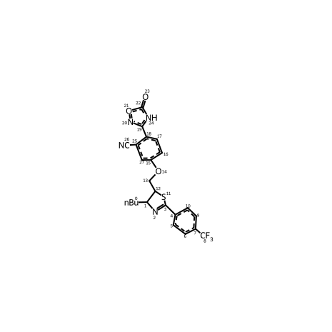 CCCCC1N=C(c2ccc(C(F)(F)F)cc2)SC1COc1ccc(-c2noc(=O)[nH]2)c(C#N)c1